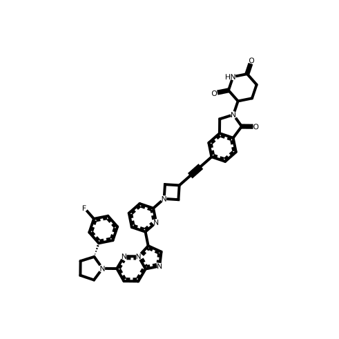 O=C1CCC(N2Cc3cc(C#CC4CN(c5cccc(-c6cnc7ccc(N8CCC[C@@H]8c8cccc(F)c8)nn67)n5)C4)ccc3C2=O)C(=O)N1